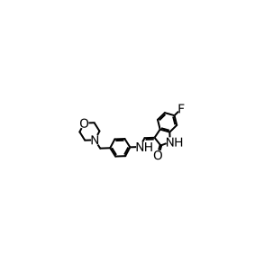 O=C1Nc2cc(F)ccc2C1=CNc1ccc(CN2CCOCC2)cc1